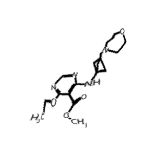 CCOc1ncnc(NC23CC(N4CCOCC4)(C2)C3)c1C(=O)OC